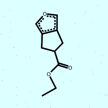 CCOC(=O)C1Cc2cocc2C1